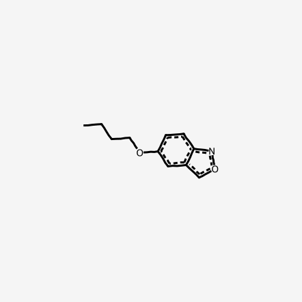 CCCCOc1ccc2nocc2c1